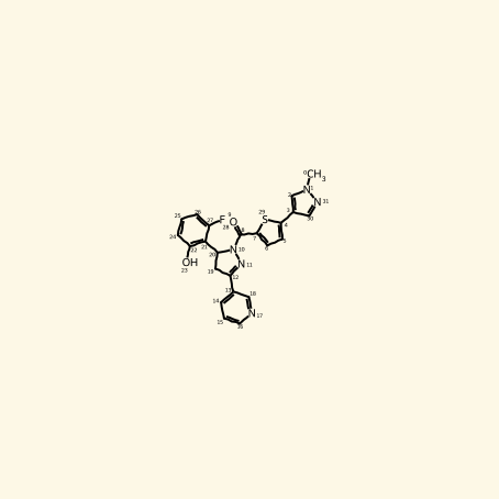 Cn1cc(-c2ccc(C(=O)N3N=C(c4cccnc4)CC3c3c(O)cccc3F)s2)cn1